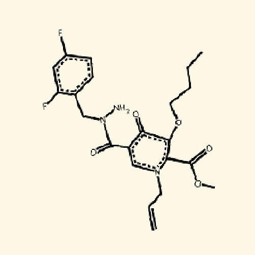 C=CCn1cc(C(=O)N(N)Cc2ccc(F)cc2F)c(=O)c(OCCCC)c1C(=O)OC